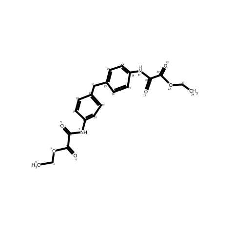 CCOC(=O)C(=O)Nc1ccc(Cc2ccc(NC(=O)C(=O)OCC)cc2)cc1